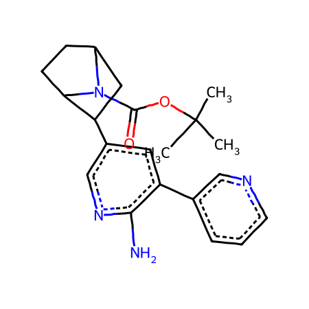 CC(C)(C)OC(=O)N1C2CCC1C(c1cnc(N)c(-c3cccnc3)c1)C2